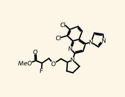 COC(=O)C(F)COCC1CCCN1c1cc(-n2ccnc2)c2ccc(Cl)c(Cl)c2n1